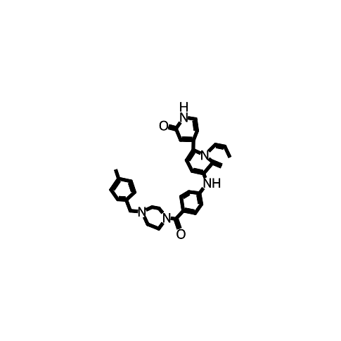 C=C1C(Nc2ccc(C(=O)N3CCN(Cc4ccc(C)cc4)CC3)cc2)=CC=C(c2cc[nH]c(=O)c2)N1/C=C\C